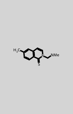 CNCn1ccc2cc(C)ccc2c1=S